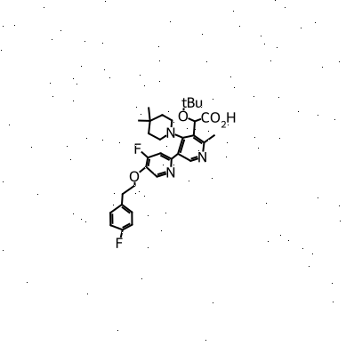 Cc1ncc(-c2cc(F)c(OCCc3ccc(F)cc3)cn2)c(N2CCC(C)(C)CC2)c1C(OC(C)(C)C)C(=O)O